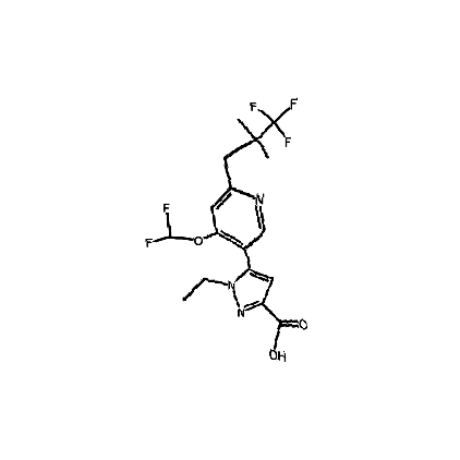 CCn1nc(C(=O)O)cc1-c1cnc(CC(C)(C)C(F)(F)F)cc1OC(F)F